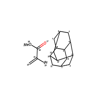 C1C2CC3C4CC5CC(C14)C(C2)C3C5.C=C(C(=O)OC)C(C)C